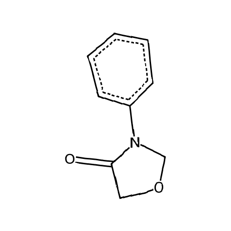 O=C1COCN1c1ccccc1